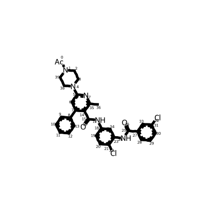 CC(=O)N1CCN(c2cc(-c3ccccc3)c(C(=O)Nc3ccc(Cl)c(NC(=O)c4cccc(Cl)c4)c3)c(C)n2)CC1